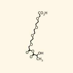 CC(O)C(=O)OC(=O)COCCOCCOCCOCC(=O)O